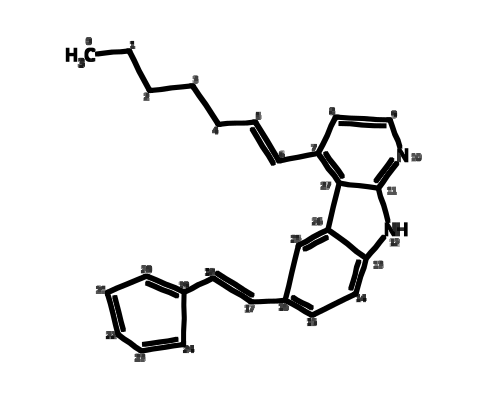 CCCCCC=Cc1ccnc2[nH]c3ccc(C=Cc4ccccc4)cc3c12